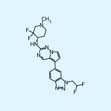 CN1CC[C@@H](Nc2ncc3c(-c4ccc5nnn(CC(F)F)c5c4)ccn3n2)C(F)(F)C1